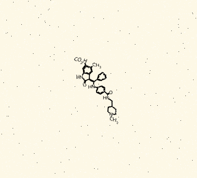 Cc1cc2c(cc1C(=O)O)NC(=O)/C2=C(\Nc1ccc(C(=O)NCC2CCN(C)CC2)cc1)c1ccccc1